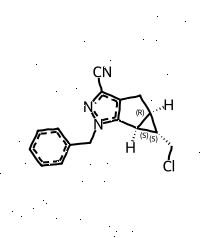 N#Cc1nn(Cc2ccccc2)c2c1C[C@H]1[C@H](CCl)[C@@H]21